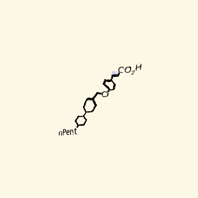 CCCCCC1CCC(C2CCC(COc3ccc(/C=C/C(=O)O)cc3)CC2)CC1